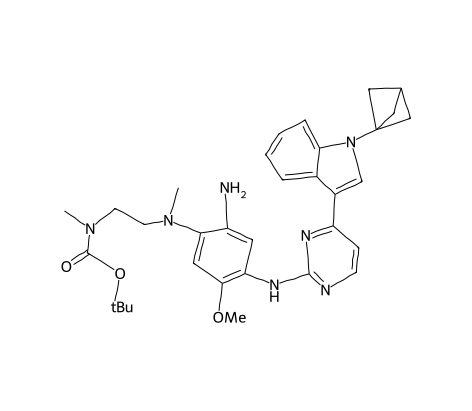 COc1cc(N(C)CCN(C)C(=O)OC(C)(C)C)c(N)cc1Nc1nccc(-c2cn(C34CC(C3)C4)c3ccccc23)n1